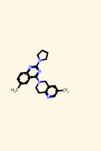 Cc1ccc2nc(N3CCCC3)nc(N3CCc4ncc(C(F)(F)F)cc4C3)c2c1